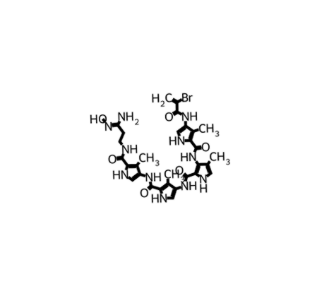 C=C(Br)C(=O)Nc1c[nH]c(C(=O)Nc2c(C)c[nH]c2C(=O)Nc2c[nH]c(C(=O)Nc3c[nH]c(C(=O)NCCC(N)=NO)c3C)c2C)c1C